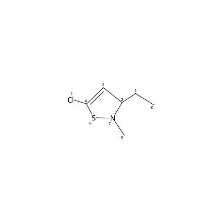 CCC1C=C(Cl)SN1C